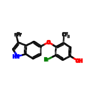 CCCc1c[nH]c2ccc(Oc3c(Br)cc(O)cc3C(F)(F)F)cc12